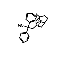 C[N+]1(C)C2CCC1(I)CC(CC(C#N)(c1ccccc1)c1ccccc1)C2